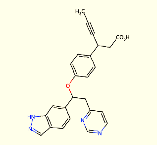 CC#CC(CC(=O)O)c1ccc(OC(Cc2ccncn2)c2ccc3cn[nH]c3c2)cc1